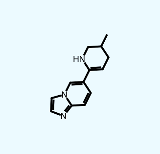 CC1CC=C(c2ccc3nccn3c2)NC1